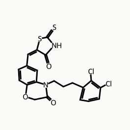 O=C1NC(=S)SC1=Cc1ccc2c(c1)N(CCCc1cccc(Cl)c1Cl)C(=O)CO2